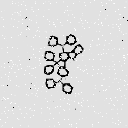 c1ccc(N(c2ccccc2)c2ccc3c(c2)C(c2ccccc2)(c2ccccc2)c2cc(N(c4ccccc4)c4ccccc4)c4c(oc5ccccc54)c2-3)cc1